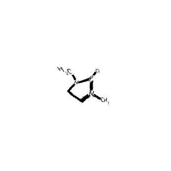 CN1CCN(C)P1Cl